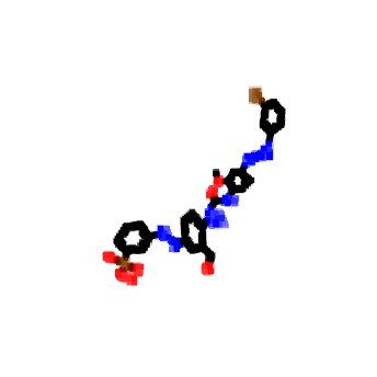 COc1cc(N=Nc2cccc(S)c2)ccc1NC(=O)Nc1ccc(N=Nc2cccc(S(=O)(=O)O)c2)cc1C=O